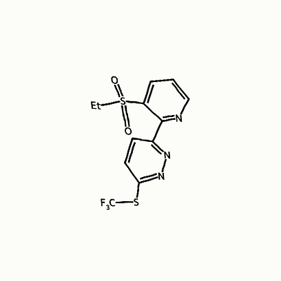 CCS(=O)(=O)c1cccnc1-c1ccc(SC(F)(F)F)nn1